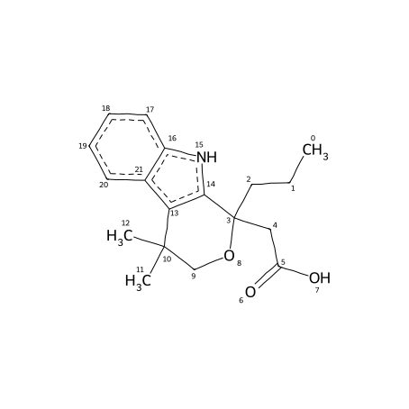 CCCC1(CC(=O)O)OCC(C)(C)c2c1[nH]c1ccccc21